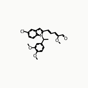 CO/C(C=O)=C\C=C\c1cc2cc(Cl)ccc2n1C(C)c1ccc(OC)c(OC)c1